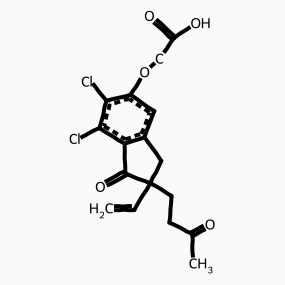 C=CC1(CCC(C)=O)Cc2cc(OCC(=O)O)c(Cl)c(Cl)c2C1=O